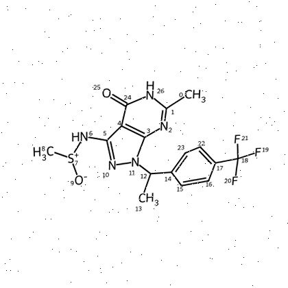 Cc1nc2c(c(N[S+](C)[O-])nn2C(C)c2ccc(C(F)(F)F)cc2)c(=O)[nH]1